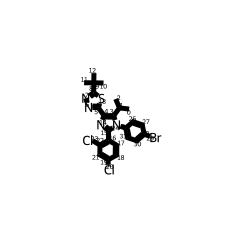 CC(C)c1c(-c2nnc(C(C)(C)C)s2)nc(-c2ccc(Cl)cc2Cl)n1-c1ccc(Br)cc1